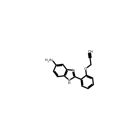 C#CCOc1ccccc1-c1nc2cc([AsH2])ccc2[nH]1